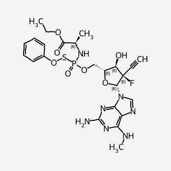 C#C[C@@]1(F)[C@H](O)[C@@H](COP(=O)(N[C@H](C)C(=O)OCC)SOc2ccccc2)O[C@H]1n1cnc2c(NC)nc(N)nc21